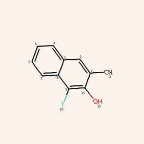 N#Cc1cc2ccccc2c(F)c1O